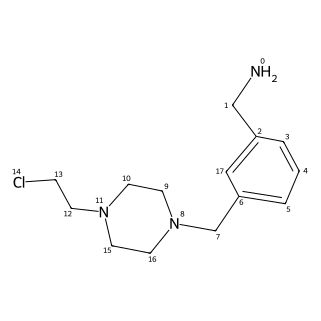 NCc1cccc(CN2CCN(CCCl)CC2)c1